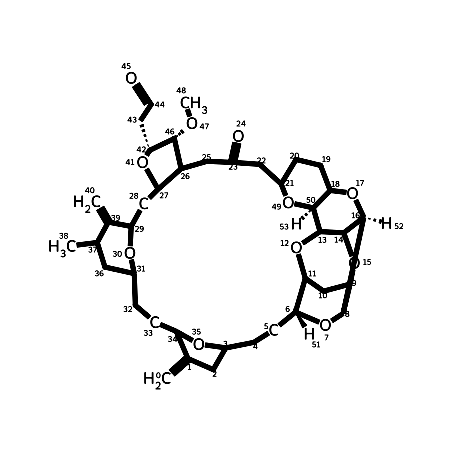 C=C1CC2CC[C@H]3OC4C5CC3OC3C(O5)[C@H]4OC4CCC(CC(=O)CC5C(CC6OC(CCC1O2)CC(C)C6=C)O[C@H](CC=O)[C@@H]5OC)O[C@@H]43